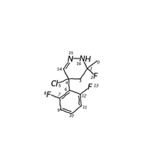 CC1(F)CC(Cl)(c2c(F)cccc2F)C=NN1